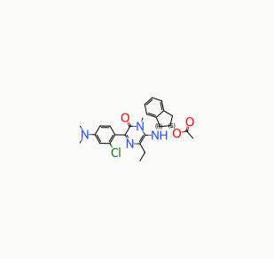 CCc1nc(-c2ccc(N(C)C)cc2Cl)c(=O)n(C)c1N[C@@H]1c2ccccc2C[C@@H]1OC(C)=O